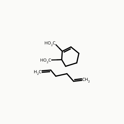 C=CCCC=C.O=C(O)C1=CCCCC1C(=O)O